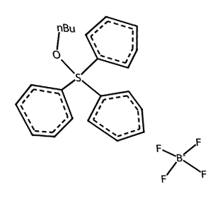 CCCCOS(c1ccccc1)(c1ccccc1)c1ccccc1.F[B-](F)(F)F